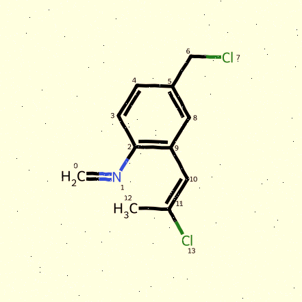 C=Nc1ccc(CCl)cc1/C=C(\C)Cl